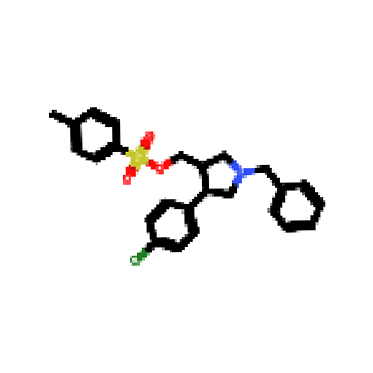 Cc1ccc(S(=O)(=O)OCC2CN(Cc3ccccc3)CC2c2ccc(Cl)cc2)cc1